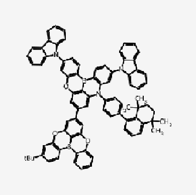 CC(C)(C)c1ccc2c(c1)Oc1cc(-c3cc4c5c(c3)N(c3ccc(-c6cccc7c6C(C)(C)CCC7(C)C)cc3)c3cc(-n6c7ccccc7c7ccccc76)ccc3B5c3ccc(-n5c6ccccc6c6ccccc65)cc3O4)cc3c1B2c1ccccc1O3